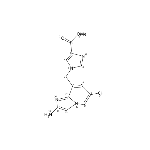 COC(=O)c1cn(Cc2nc(C)cn3cc(N)nc23)cn1